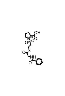 O=C(CNC(=O)c1ccccc1)SCCS(=O)(=O)N1CCC[C@H]1C(=O)O